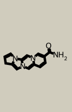 NC(=O)C1=CN2C=C3N(C=C2C=C1)C=C1CC=CN13